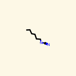 CCCCCC[N]C#N